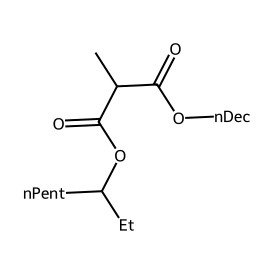 CCCCCCCCCCOC(=O)C(C)C(=O)OC(CC)CCCCC